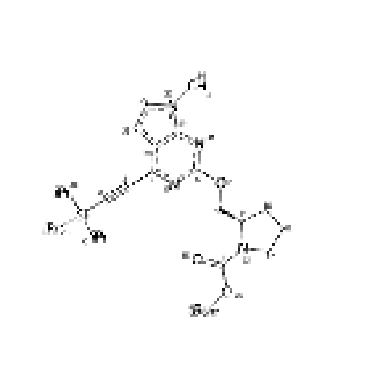 CC(C)[Si](C#Cc1nc(OC[C@H]2CCCN2C(=O)OC(C)(C)C)nc2c1ccn2C)(C(C)C)C(C)C